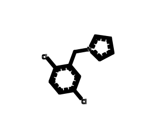 Clc1ccc(Cl)c(Cn2cccc2)c1